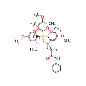 COC1=CC(OC)=C([PH](CCCCC(=O)Nc2ccccc2)(c2c(OC)cc(OC)cc2OC)c2c(OC)cc(OC)cc2OC)[C@@H](OC)C1